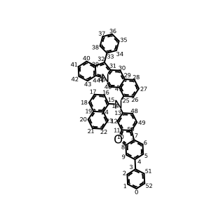 c1ccc(-c2ccc3c(c2)oc2cc(N(c4cccc5ccccc45)c4cccc5cc6c(-c7ccccc7)c7ccccc7n6cc45)ccc23)cc1